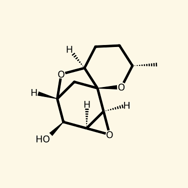 C[C@H]1CC[C@@H]2O[C@@H]3C[C@@]2(O1)[C@H]1O[C@H]1[C@H]3O